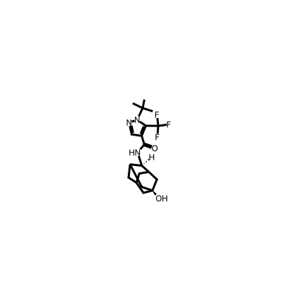 CC(C)(C)n1ncc(C(=O)N[C@H]2C3CC4CC2C[C@@](O)(C4)C3)c1C(F)(F)F